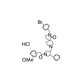 COc1cccc(CC(=O)N2CC(CN3CCC4(CC3)CCN(Cc3ccc(Br)cc3)C4=O)C(c3ccccc3)C2)c1.Cl